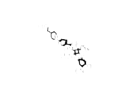 CC1(C)[C@H](NC(=O)c2ccc(N3CCC(CCO)CC3)nc2)C(C)(C)[C@H]1Oc1ccc(C#N)c(Cl)c1